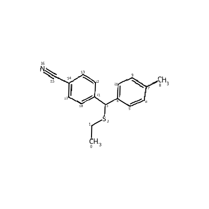 CCSC(c1ccc(C)cc1)c1ccc(C#N)cc1